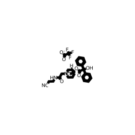 N#CCCNC(=O)C[N+]12CCC(CC1)[C@@H](OC(=O)C(O)(c1ccccc1)c1ccccc1)C2.O=C([O-])C(F)(F)F